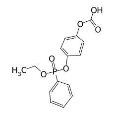 CCOP(=O)(Oc1ccc(OC(=O)O)cc1)c1ccccc1